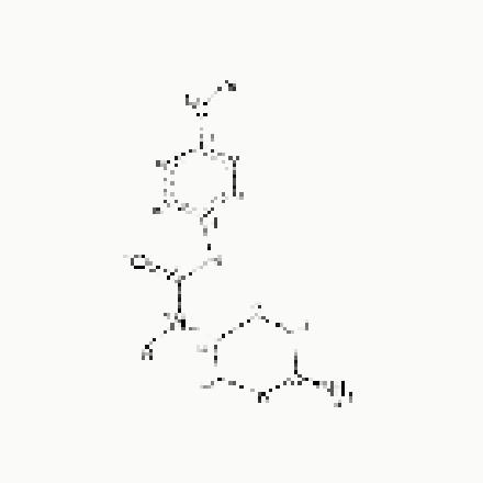 COc1ccc(CC(=O)N(C)[C@H]2CC[C@H](N)CC2)cc1